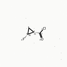 O=C(Cl)[C@H]1C[C@H]1F